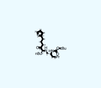 CCCC[C@H](NC[C@@H](CC(C)C)NC(=O)OC(C)(C)C)C(=O)CCCc1cccs1